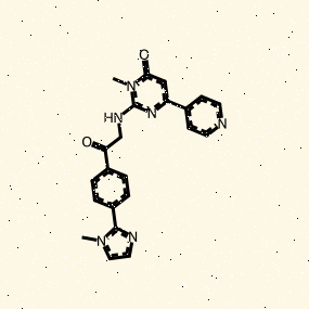 Cn1ccnc1-c1ccc(C(=O)CNc2nc(-c3ccncc3)cc(=O)n2C)cc1